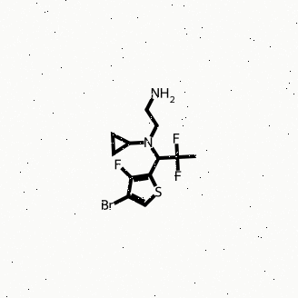 CC(F)(F)C(c1scc(Br)c1F)N(CCN)C1CC1